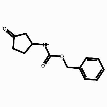 O=C1CCC(NC(=O)OCc2ccccc2)C1